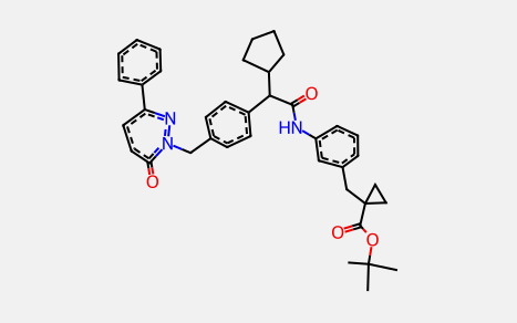 CC(C)(C)OC(=O)C1(Cc2cccc(NC(=O)C(c3ccc(Cn4nc(-c5ccccc5)ccc4=O)cc3)C3CCCC3)c2)CC1